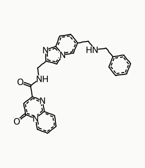 O=C(NCc1cn2cc(CNCc3ccccc3)ccc2n1)c1cc(=O)n2ccccc2n1